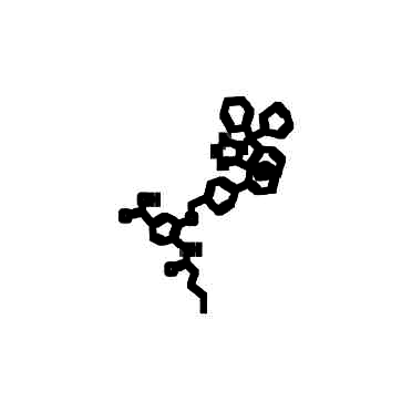 CCCCC(=O)Nc1ccc(C(=O)O)cc1OCc1ccc(-c2ccccc2-c2nnnn2C(c2ccccc2)(c2ccccc2)c2ccccc2)cc1